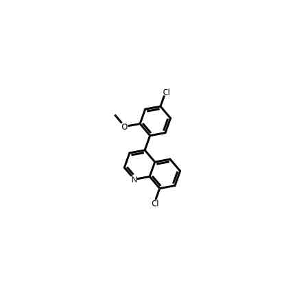 COc1cc(Cl)ccc1-c1ccnc2c(Cl)cccc12